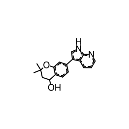 CC1(C)CC(O)c2ccc(-c3c[nH]c4ncccc34)cc2O1